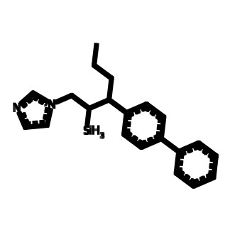 CCCC(c1ccc(-c2ccccc2)cc1)C([SiH3])Cn1ccnc1